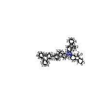 CC1(C)c2ccccc2-c2ccc(N(c3ccc4c(c3)C(C)(C)c3ccccc3-4)c3ccc4c(c3)C(C)(C)c3cc(-c5ccc6c7ccccc7c7ccccc7c6c5)ccc3-4)cc21